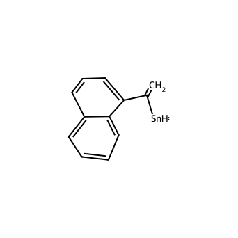 C=[C]([SnH])c1cccc2ccccc12